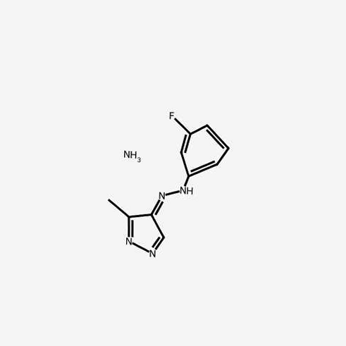 CC1=NN=CC1=NNc1cccc(F)c1.N